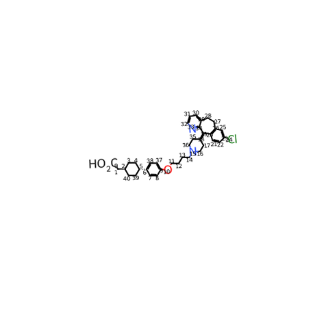 O=C(O)C[C@H]1CC[C@H](c2ccc(OCCCCN3CCC(=C4c5ccc(Cl)cc5CCc5cccnc54)CC3)cc2)CC1